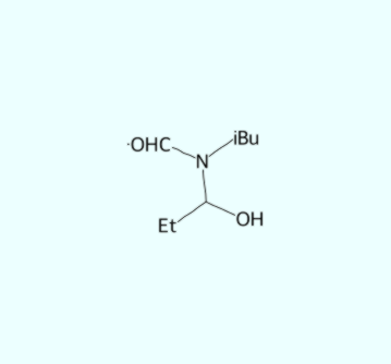 CCC(C)N([C]=O)C(O)CC